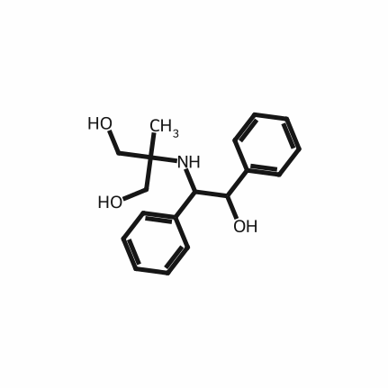 CC(CO)(CO)NC(c1ccccc1)C(O)c1ccccc1